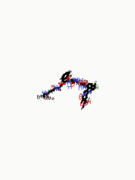 C/C=C1\OCc2c(cc3n(c2=O)Cc2c-3nc3cc(F)c(C)c4c3c2[C@@H](NC(=O)COCNC(=O)CNC(=O)[C@@H](CC(=O)CNC(=O)CNC(=O)CCCCCNC(=O)CC(CC)OC)Cc2ccccc2)CC4)[C@@]1(O)CC